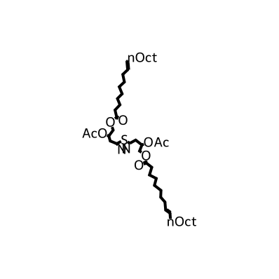 CCCCCCCCC=CCCCCCCCC(=O)OCC(Cc1nnc(CC(COC(=O)CCCCCCCC=CCCCCCCCC)OC(C)=O)s1)OC(C)=O